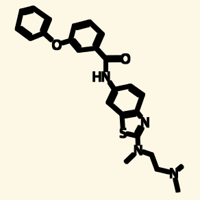 CN(C)CCN(C)c1nc2ccc(NC(=O)c3cccc(Oc4ccccc4)c3)cc2s1